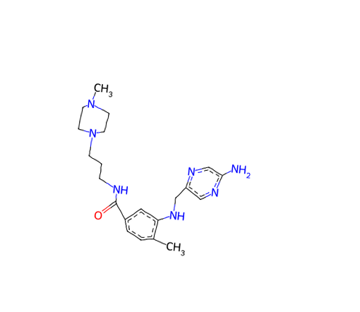 Cc1ccc(C(=O)NCCCN2CCN(C)CC2)cc1NCc1cnc(N)cn1